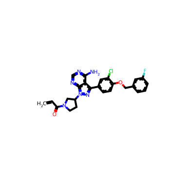 C=CC(=O)N1CCC(n2nc(-c3ccc(OCc4cccc(F)c4)c(Cl)c3)c3c(N)ncnc32)C1